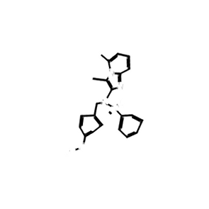 Cc1cccc2nc(N(Cc3ccc(OC(F)(F)F)cc3)S(=O)(=O)c3ccccc3)c(C)n12